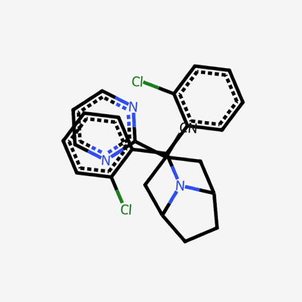 N#CC1(c2ncccn2)CC2CCC(C1)N2C(c1ccccc1Cl)c1ccccc1Cl